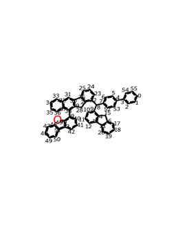 c1ccc(-c2ccc(C(c3cccc4c3Cc3ccccc3-4)c3cccc4c3Cc3c-4cc4ccccc4c3-c3cccc4c3oc3ccccc34)cc2)cc1